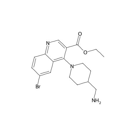 CCOC(=O)c1cnc2ccc(Br)cc2c1N1CCC(CN)CC1